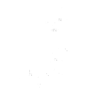 CCNC(=O)c1ccc(N2CCN(Cc3ccc4c(c3)NC(=O)N(CC)C4)CC2)c(F)n1